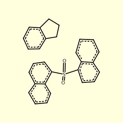 O=S(=O)(c1cccc2ccccc12)c1cccc2ccccc12.c1ccc2c(c1)CCC2